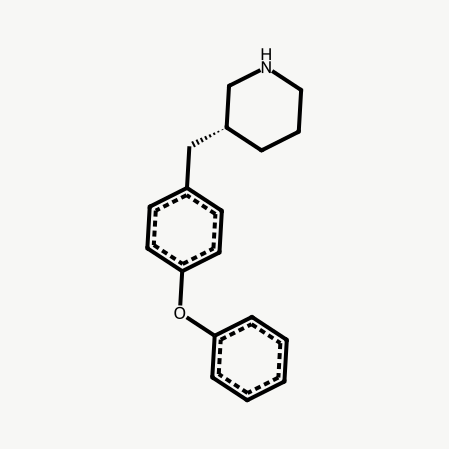 c1ccc(Oc2ccc(C[C@H]3CCCNC3)cc2)cc1